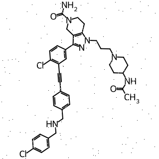 CC(=O)NC1CCN(CCCn2nc(-c3ccc(Cl)c(C#Cc4ccc(CNCc5ccc(Cl)cc5)cc4)c3)c3c2CCN(C(N)=O)C3)CC1